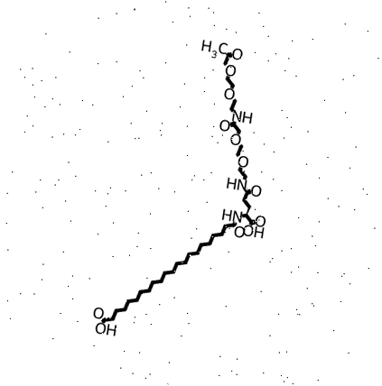 CC(=O)COCCOCCNC(=O)COCCOCCNC(=O)CC[C@H](NC(=O)CCCCCCCCCCCCCCCCCCCCC(=O)O)C(=O)O